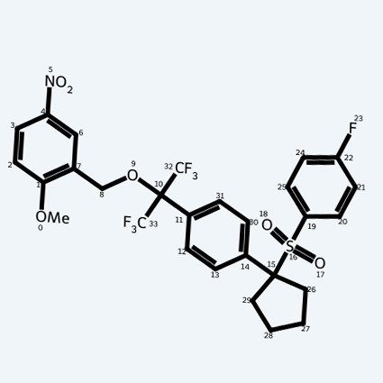 COc1ccc([N+](=O)[O-])cc1COC(c1ccc(C2(S(=O)(=O)c3ccc(F)cc3)CCCC2)cc1)(C(F)(F)F)C(F)(F)F